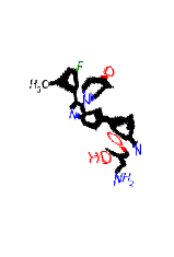 Cc1cc(F)cc(-c2cnc3ccc(-c4cccc(C#N)c4OCC(CO)CCN)cc3c2N2CCC(=O)CC2)c1